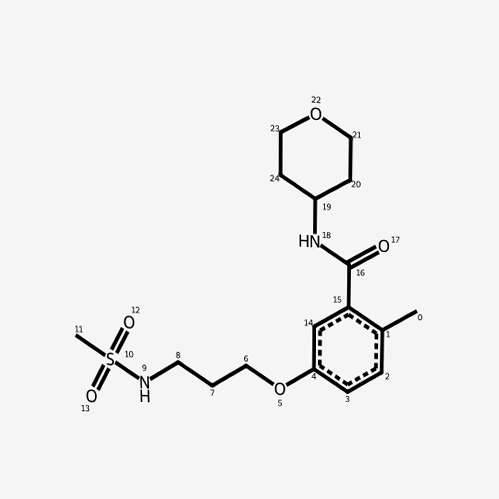 Cc1ccc(OCCCNS(C)(=O)=O)cc1C(=O)NC1CCOCC1